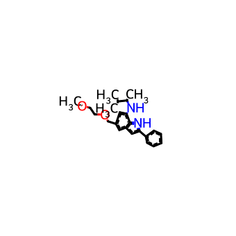 COCCOCc1cc(NC(C)C(C)C)c2[nH]c(-c3ccccc3)cc2c1